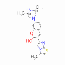 Cc1csc2nc(C3=Cc4ccc(N5C[C@@H](C)N[C@@H](C)C5)cc4OC3O)cn12